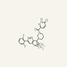 CC1(C)C2CCC1(C1CCCN(C(=O)c3ccc(=O)[nH]n3)C1)c1nnc(-c3c(F)cccc3F)cc12